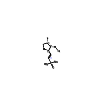 CCO[C@H]1[C@@H](F)CO[C@@H]1/C=C/P(=O)(O)O